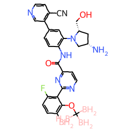 Bc1ccc(F)c(-c2nccc(C(=O)Nc3ccc(-c4cnccc4C#N)cc3N3C[C@@H](N)C[C@H]3CO)n2)c1OC(B)(B)B